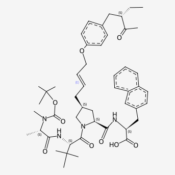 CC[C@@H](Cc1ccc(OC/C=C/C[C@H]2C[C@@H](C(=O)N[C@@H](Cc3ccc4ccccc4c3)C(=O)O)N(C(=O)[C@@H](NC(=O)[C@H](C)N(C)C(=O)OC(C)(C)C)C(C)(C)C)C2)cc1)C(C)=O